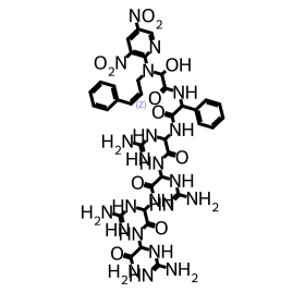 N=C(N)NC(NC(=O)C(NC(=N)N)NC(=O)C(NC(=N)N)NC(=O)C(NC(=N)N)NC(=O)C(NC(=O)C(O)N(C/C=C\c1ccccc1)c1ncc([N+](=O)[O-])cc1[N+](=O)[O-])c1ccccc1)C(N)=O